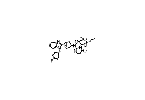 CCCC(=O)OC1C(=O)ON(C2CCN(c3nc4ccccc4n3Cc3ccc(F)cc3)CC2)c2nccc(=O)n21